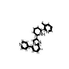 Cc1cccnc1[C@@H]1CCC[C@H](C2CN3C(c4ccncc4)=CC=CC3=N2)N1